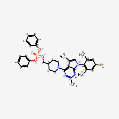 Cc1nc(N2CCC(COP(=O)(Oc3ccccc3)Oc3ccccc3)CC2)c2c(C)cn(-c3c(C)cc(Br)cc3C)c2n1